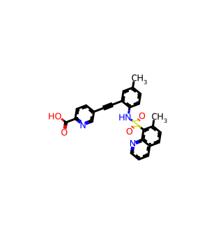 Cc1ccc(NS(=O)(=O)c2c(C)ccc3cccnc23)c(C#Cc2ccc(C(=O)O)nc2)c1